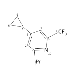 CC(C)c1cc(C2CC2)cc(C(F)(F)F)n1